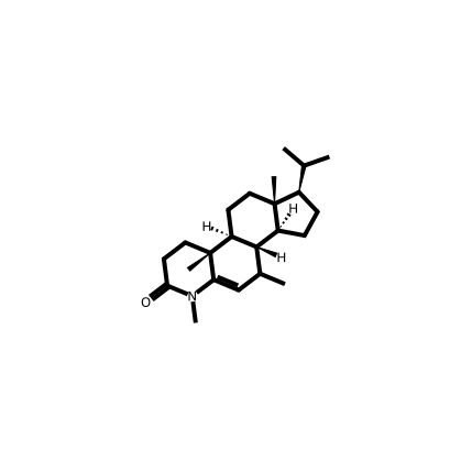 CC1C=C2N(C)C(=O)CC[C@]2(C)[C@H]2CC[C@]3(C)[C@@H](C(C)C)CC[C@H]3[C@H]12